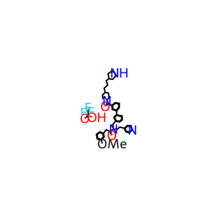 COc1cccc(CC(=O)N(CCc2ccncc2)Cc2cccc(-c3cccc(C(=O)N4CCC(CCCC5CCNCC5)CC4)c3)c2)c1.O=C(O)C(F)(F)F